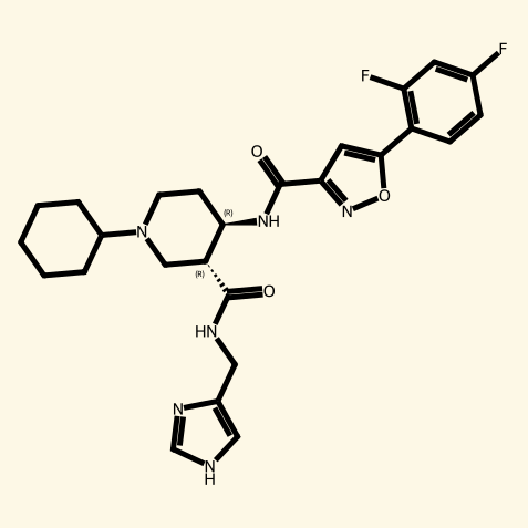 O=C(N[C@@H]1CCN(C2CCCCC2)C[C@H]1C(=O)NCc1c[nH]cn1)c1cc(-c2ccc(F)cc2F)on1